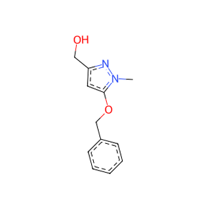 Cn1nc(CO)cc1OCc1ccccc1